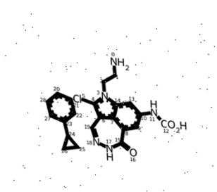 NCCn1c(Cl)c2c3c(cc(NC(=O)O)cc31)C(=O)NN=C2.c1ccc(C2CC2)cc1